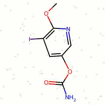 COc1ncc(OC(N)=O)cc1I